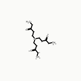 CCC(=O)CCN(CCC(=O)CC)CCC(=O)CC